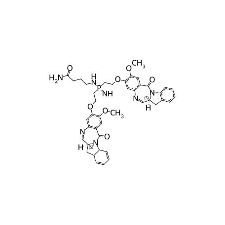 COc1cc2c(cc1OCCP(=N)(CCOc1cc3c(cc1OC)C(=O)N1C4C=CC=CC4C[C@H]1C=N3)NCCCC(N)=O)N=C[C@@H]1Cc3ccccc3N1C2=O